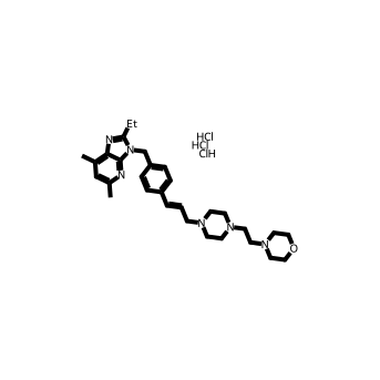 CCc1nc2c(C)cc(C)nc2n1Cc1ccc(/C=C/CN2CCN(CCN3CCOCC3)CC2)cc1.Cl.Cl.Cl